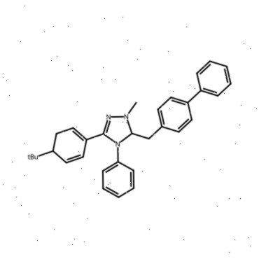 CN1N=C(C2=CCC(C(C)(C)C)C=C2)N(c2ccccc2)C1Cc1ccc(-c2ccccc2)cc1